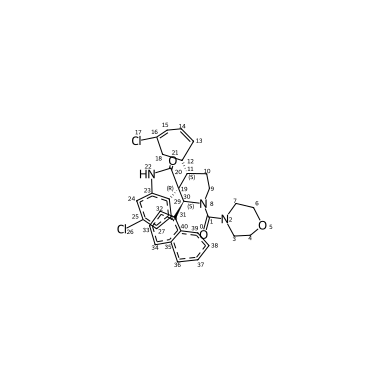 O=C(N1CCOCC1)N1CC[C@@H](C2C=CC=C(Cl)C2)[C@]2(C(=O)Nc3cc(Cl)ccc32)[C@@H]1c1cccc2ccccc12